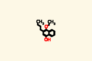 CCCCc1cc(O)c2ccccc2c1OCC